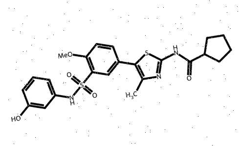 COc1ccc(-c2sc(NC(=O)C3CCCC3)nc2C)cc1S(=O)(=O)Nc1cccc(O)c1